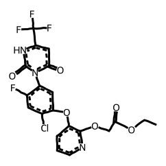 CCOC(=O)COc1ncccc1Oc1cc(-n2c(=O)cc(C(F)(F)F)[nH]c2=O)c(F)cc1Cl